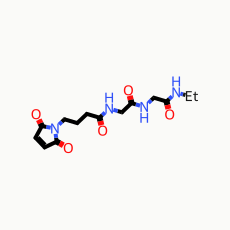 CCNC(=O)CNC(=O)CNC(=O)CCCN1C(=O)C=CC1=O